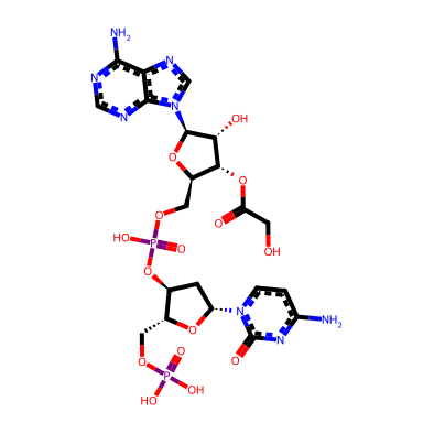 Nc1ccn([C@H]2C[C@H](OP(=O)(O)OC[C@H]3O[C@@H](n4cnc5c(N)ncnc54)[C@H](O)[C@@H]3OC(=O)CO)[C@@H](COP(=O)(O)O)O2)c(=O)n1